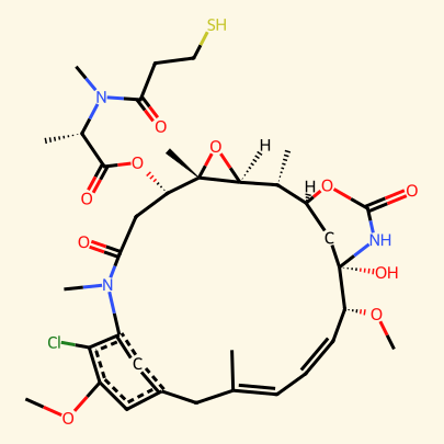 COc1cc2cc(c1Cl)N(C)C(=O)C[C@H](OC(=O)[C@H](C)N(C)C(=O)CCS)[C@]1(C)O[C@H]1[C@H](C)[C@@H]1C[C@@](O)(NC(=O)O1)[C@H](OC)/C=C\C=C(/C)C2